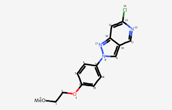 COCCOc1ccc(-n2cc3cnc(Cl)cc3n2)cc1